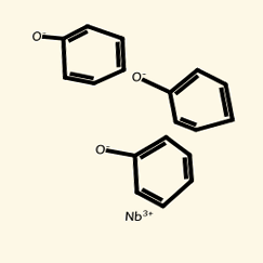 [Nb+3].[O-]c1ccccc1.[O-]c1ccccc1.[O-]c1ccccc1